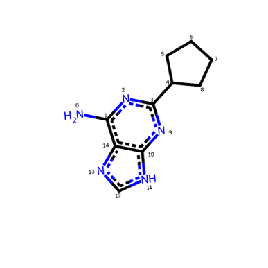 Nc1nc(C2CCCC2)nc2[nH]cnc12